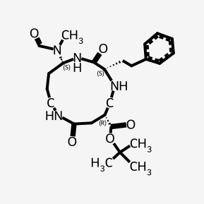 CN(C=O)[C@H]1CCCNC(=O)C[C@@H](C(=O)OC(C)(C)C)CN[C@@H](CCc2ccccc2)C(=O)N1